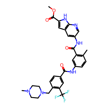 COC(=O)c1cc2cc(NC(=O)c3cc(NC(=O)c4ccc(CN5CCN(C)CC5)c(C(F)(F)F)c4)ccc3C)cnc2[nH]1